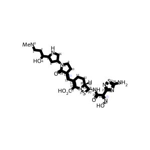 CNCCC(O)C1CC(N2CC/C(=C\C3=C(C(=O)O)N4S[C@@H](NC(=O)/C(=N\O)c5nsc(N)n5)[C@H]4CC3)C2=O)CN1